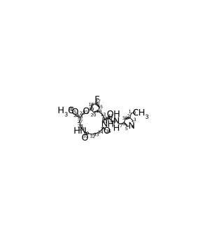 CCc1cncc(CNC[C@@H](O)[C@@H]2Cc3cc(F)cc(c3)OCC(COC)CCNC(=O)CCCC(=O)N2)c1